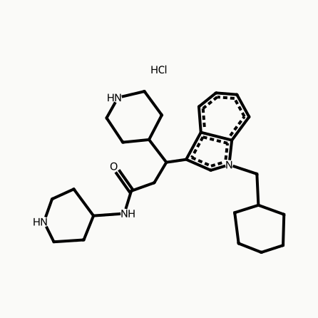 Cl.O=C(CC(c1cn(CC2CCCCC2)c2ccccc12)C1CCNCC1)NC1CCNCC1